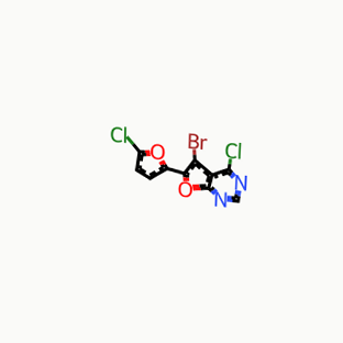 Clc1ccc(-c2oc3ncnc(Cl)c3c2Br)o1